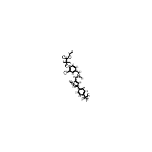 CCOC(=O)C(C)(C)Oc1ccc(CN(C)Cc2cc(-c3ccc(C(F)(F)F)cc3)nn2C)cc1Cl